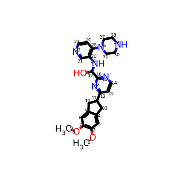 COc1cc2c(cc1OC)CC(c1ccnc(C(O)Nc3cnccc3N3CCNCC3)n1)C2